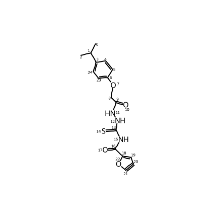 CC(C)c1ccc(OCC(=O)NNC(=S)NC(=O)c2cc#co2)cc1